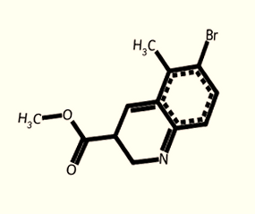 COC(=O)C1C=c2c(C)c(Br)ccc2=NC1